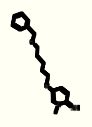 Cn1cc(OCCCCCOCc2ccccc2)ccc1=N